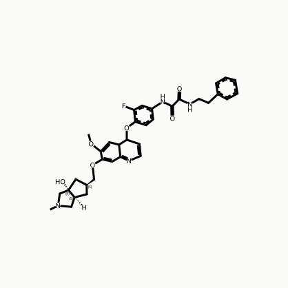 COC1=CC2C(=NC=CC2Oc2ccc(NC(=O)C(=O)NCCc3ccccc3)cc2F)C=C1OC[C@H]1C[C@H]2CN(C)C[C@@]2(O)C1